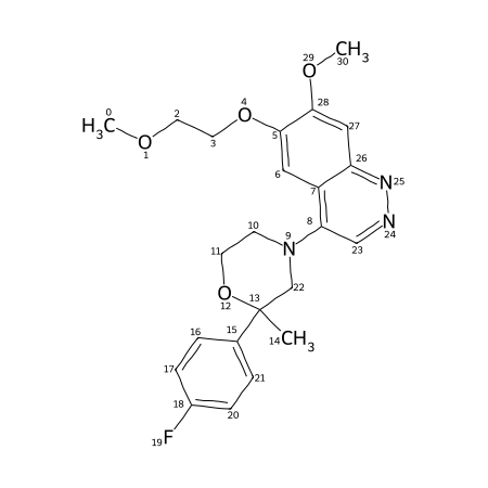 COCCOc1cc2c(N3CCOC(C)(c4ccc(F)cc4)C3)cnnc2cc1OC